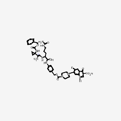 CCn1cc(C(=O)O)c(=O)c2cc(F)c(N3CCN(C(=O)OCc4ccc(NC(O)C(CCCNC(N)=O)N/C=C(\N)C5(NC(=O)OCc6ccccc6)CC5)cc4)CC3)cc21